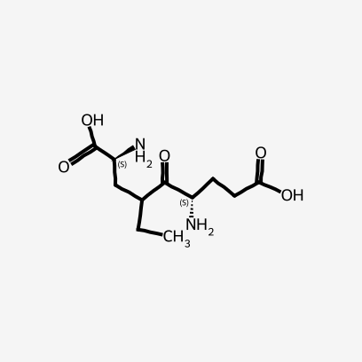 CCC(C[C@H](N)C(=O)O)C(=O)[C@@H](N)CCC(=O)O